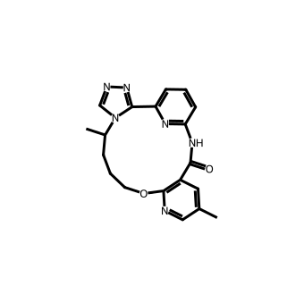 Cc1cnc2c(c1)C(=O)Nc1cccc(n1)-c1nncn1C(C)CCCO2